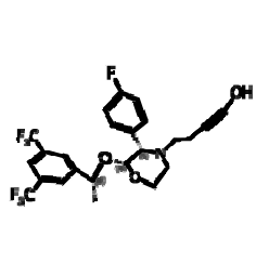 C[C@@H](O[C@H]1OCCN(CCC#CO)[C@H]1c1ccc(F)cc1)c1cc(C(F)(F)F)cc(C(F)(F)F)c1